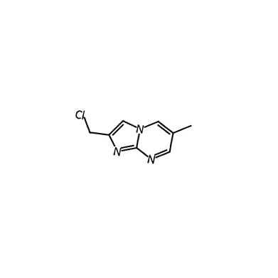 Cc1cnc2nc(CCl)cn2c1